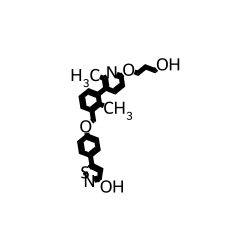 Cc1nc(OCCCO)ccc1-c1cccc(COc2ccc(-c3cc(O)ns3)cc2)c1C